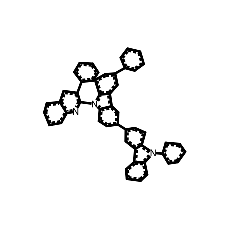 c1ccc(-c2ccc3c(c2)c2cc(-c4ccc5c(c4)c4ccccc4n5-c4ccccc4)ccc2n3-c2nc3ccccc3cc2-c2ccccc2)cc1